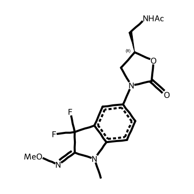 CON=C1N(C)c2ccc(N3C[C@@H](CNC(C)=O)OC3=O)cc2C1(F)F